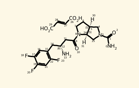 NC(=O)N1C[C@@H]2CCN(C(=O)C[C@H](N)Cc3cc(F)c(F)cc3F)[C@@H]2C1.O=C(O)C=CC(=O)O